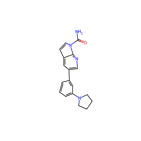 NC(=O)n1c[c]c2cc(-c3cccc(N4CCCC4)c3)cnc21